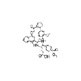 CCOC(=O)N1CCN(C(=O)[C@H](CCC(=O)O)NC(=O)c2cc(OCC(=O)N3CCCC3c3ccc(OC)c(OC)c3)c3ccccc3n2)CC1